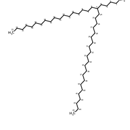 [CH2]CCCCC(CCCCCCCCCCCCCCCCCC)CCCCCCCCCCCCCCCCCCCCCC